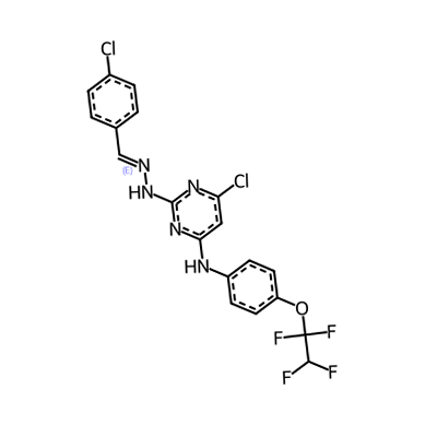 FC(F)C(F)(F)Oc1ccc(Nc2cc(Cl)nc(N/N=C/c3ccc(Cl)cc3)n2)cc1